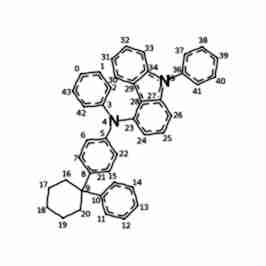 c1ccc(N(c2ccc(C3(c4ccccc4)CCCCC3)cc2)c2cccc3c2c2ccccc2n3-c2ccccc2)cc1